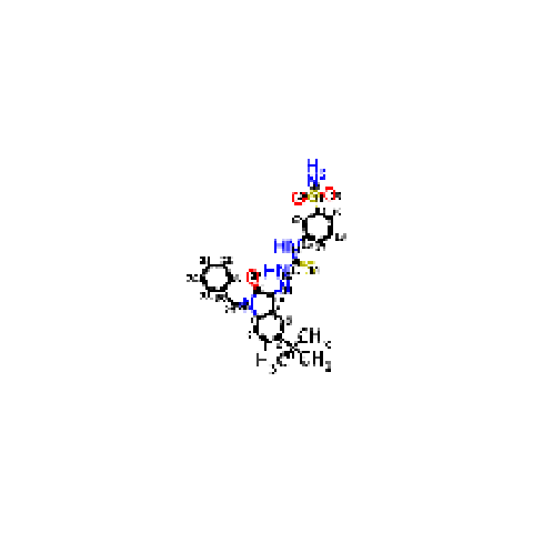 CC(C)(C)c1ccc2c(c1)C(=NNC(=S)Nc1cccc(S(N)(=O)=O)c1)C(=O)N2Cc1ccccc1